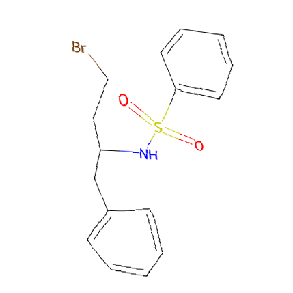 O=S(=O)(NC(CCBr)Cc1ccccc1)c1ccccc1